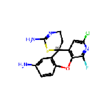 NC1=NCC[C@]2(S1)c1cc(N)ccc1Oc1c2cc(Cl)nc1F